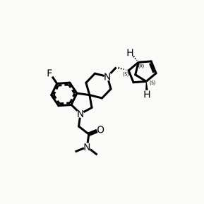 CN(C)C(=O)CN1CC2(CCN(C[C@H]3C[C@H]4C=C[C@H]3C4)CC2)c2cc(F)ccc21